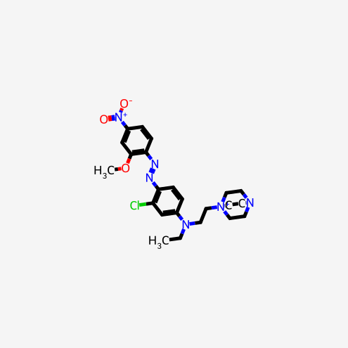 CCN(CC[N+]12CCN(CC1)CC2)c1ccc(N=Nc2ccc([N+](=O)[O-])cc2OC)c(Cl)c1